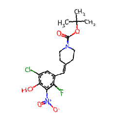 CC(C)(C)OC(=O)N1CCC(=Cc2cc(Cl)c(O)c([N+](=O)[O-])c2F)CC1